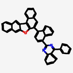 c1ccc(-c2nc(-c3ccc(-c4cc5ccccc5c5c4oc4cc6ccccc6cc45)c4ccccc34)nc3ccccc23)cc1